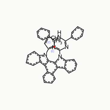 C/C=C\C(=C/C)n1c2ccccc2c2c3ccccc3c3c4ccccc4n(C4=NC(c5ccccc5)NC(c5ccccc5)=N4)c3c21